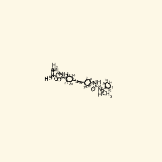 C[C@@H](NCC(=O)Nc1ccc(C#Cc2ccc(C(=O)N[C@@H](CN)C(=O)NO)cc2)cc1)c1ccccc1